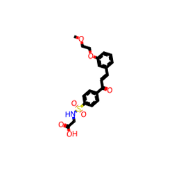 COCCOc1cccc(/C=C/C(=O)c2ccc(S(=O)(=O)NCC(=O)O)cc2)c1